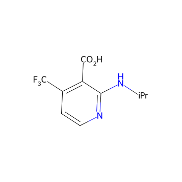 CC(C)Nc1nccc(C(F)(F)F)c1C(=O)O